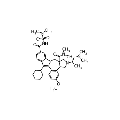 COc1ccc2c(c1)C1CN(C(C)CN(C)C)CC1(C(=O)N(C)C)Cn1c-2c(C2CCCCC2)c2ccc(C(=O)NS(=O)(=O)N(C)C)cc21